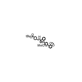 COc1nc(-c2cccc3c2OCCO3)ccc1Nc1ccccc1C(=O)NCC1CCN(C(=O)OC(C)(C)C)CC1